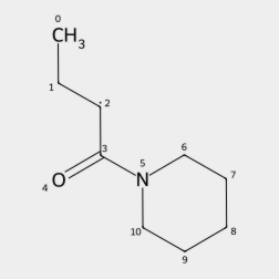 CC[CH]C(=O)N1CCCCC1